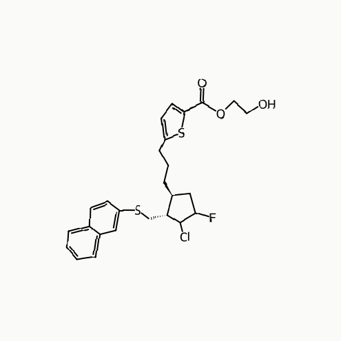 O=C(OCCO)c1ccc(CCC[C@H]2CC(F)C(Cl)[C@@H]2CSc2ccc3ccccc3c2)s1